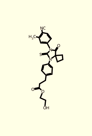 [C-]#[N+]c1ccc(N2C(=O)C3(CCC3)N(c3ccc(CCC(=O)OCCO)cc3)C2=S)cc1C